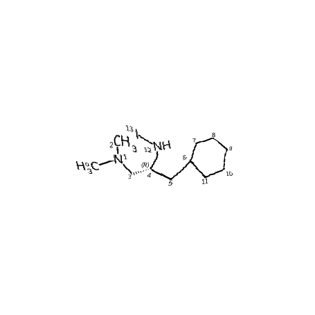 CN(C)C[C@@H](CC1CCCCC1)NI